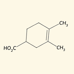 CC1=C(C)CC(C(=O)O)CC1